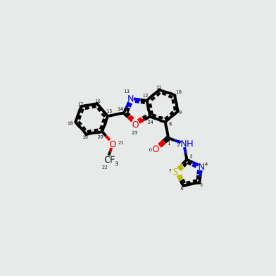 O=C(Nc1nccs1)c1cccc2nc(-c3ccccc3OC(F)(F)F)oc12